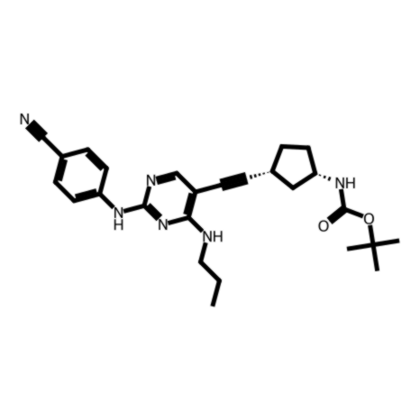 CCCNc1nc(Nc2ccc(C#N)cc2)ncc1C#C[C@@H]1CC[C@H](NC(=O)OC(C)(C)C)C1